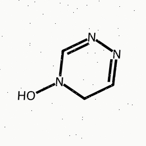 ON1C=NN=CC1